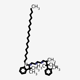 C=C(/C=C/C=C/C=C1/N(CCCCCCCCCCCCCCCCCCCC)c2ccccc2C1(C)C)C(C)(C)c1ccccc1C